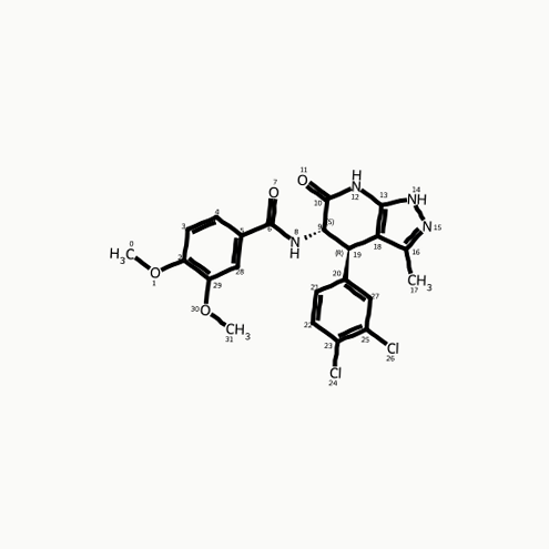 COc1ccc(C(=O)N[C@@H]2C(=O)Nc3[nH]nc(C)c3[C@H]2c2ccc(Cl)c(Cl)c2)cc1OC